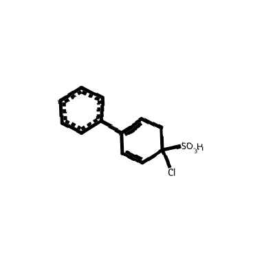 O=S(=O)(O)C1(Cl)C=CC(c2ccccc2)=CC1